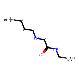 CCCCCCCCCCNCC(=O)NCC(=O)O